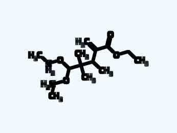 C=C(C(=O)OCC)C(C)C(C)(C)C(O[SiH2]C)O[SiH2]C